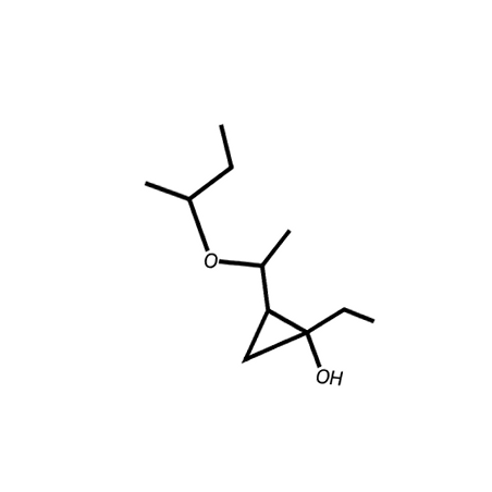 CCC(C)OC(C)C1CC1(O)CC